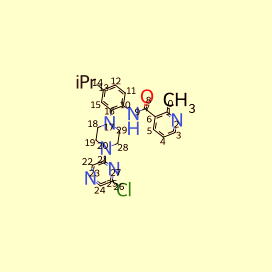 Cc1ncccc1C(=O)Nc1ccc(C(C)C)cc1N1CCN(c2cncc(Cl)n2)CC1